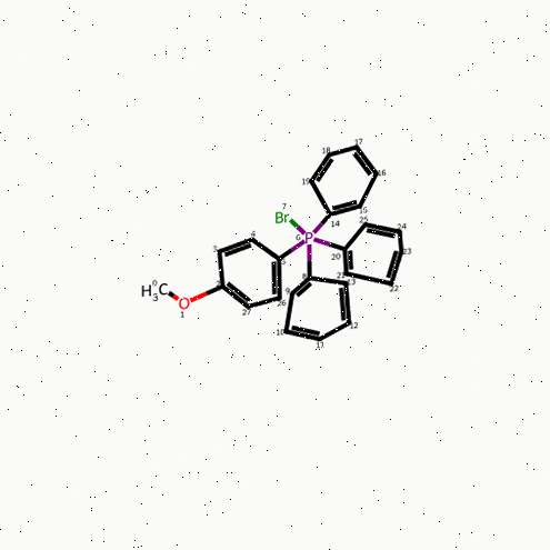 COc1ccc(P(Br)(c2ccccc2)(c2ccccc2)c2ccccc2)cc1